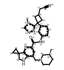 C[C@H]1CCCN(Cc2cc(C(=O)Nc3cccc(C4(c5nncn5C)CC(CC#N)C4)c3)nc3c2NCC32CC2)C1